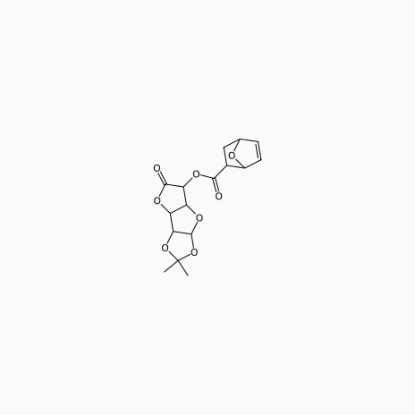 CC1(C)OC2OC3C(OC(=O)C4CC5C=CC4O5)C(=O)OC3C2O1